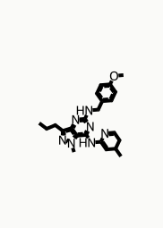 CCCc1nn(C)c2c(NC3=CC(C)CC=N3)nc(NCc3ccc(OC)cc3)nc12